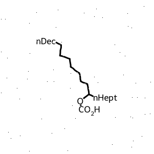 CCCCCCCCCCCCCCCCCC(CCCCCCC)OC(=O)O